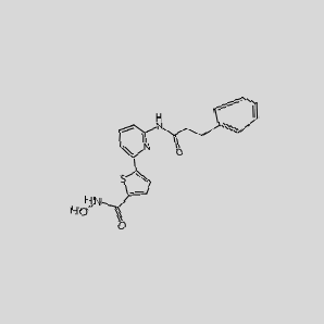 O=C(CCc1ccccc1)Nc1cccc(-c2ccc(C(=O)NO)s2)n1